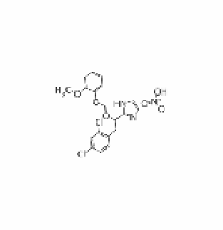 COc1ccccc1OCOC(Cc1ccc(Cl)cc1Cl)c1ncc[nH]1.O=[N+]([O-])O